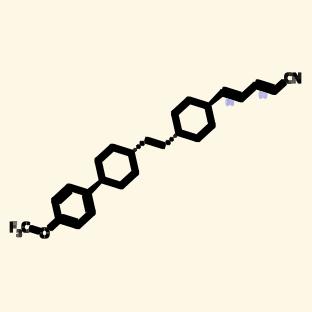 N#C/C=C/C=C/[C@H]1CC[C@H](CC[C@H]2CC[C@H](c3ccc(OC(F)(F)F)cc3)CC2)CC1